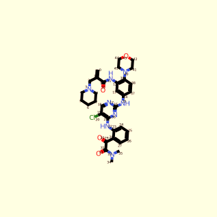 C=C(CN1CCCCC1)C(=O)Nc1cc(Nc2ncc(Cl)c(Nc3ccccc3C(=O)C(=O)N(C)C)n2)ccc1N1CCOCC1